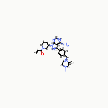 C=CC(=O)N1CCC[C@@H](n2nc(-c3ccc(CN4CCNCC4C)cc3)c3c(N)ncnc32)C1